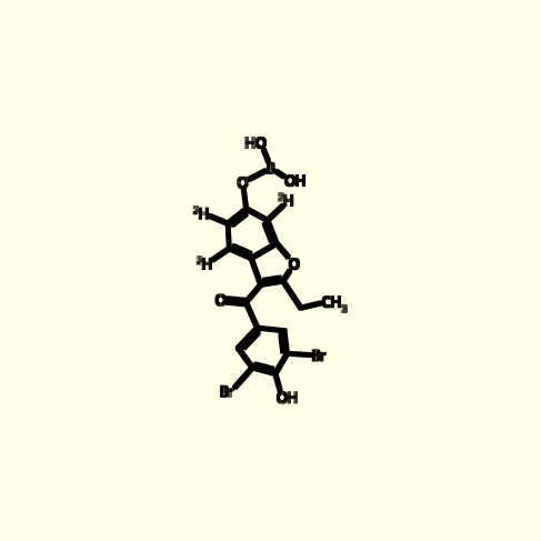 [2H]c1c(OB(O)O)c([2H])c2oc(CC)c(C(=O)c3cc(Br)c(O)c(Br)c3)c2c1[2H]